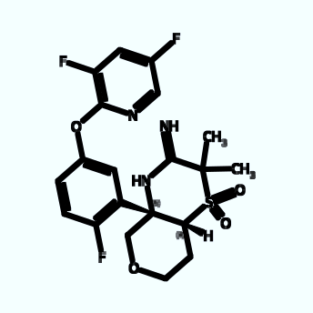 CC1(C)C(=N)N[C@@]2(c3cc(Oc4ncc(F)cc4F)ccc3F)COCC[C@H]2S1(=O)=O